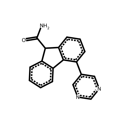 NC(=O)C1c2ccccc2-c2c(-c3cncnc3)cccc21